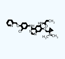 C=CC(=O)Nc1cc2c(Nc3ccc(OCc4ccccn4)c(Cl)c3)ncnc2cc1OCC1(N(C)C)CC1